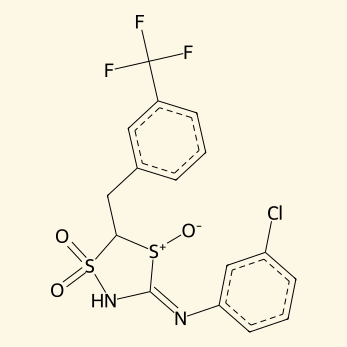 O=S1(=O)NC(=Nc2cccc(Cl)c2)[S+]([O-])C1Cc1cccc(C(F)(F)F)c1